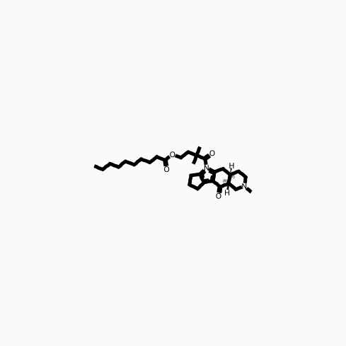 CCCCCCCCCC(=O)OCCC(C)(C)C(=O)n1c2c(c3c1C[C@H]1CCN(C)C[C@@H]1C3=O)CCC2